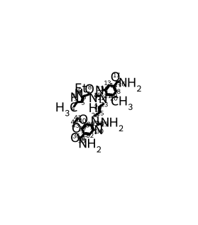 CCn1nc(C)cc1C(=O)Nc1nc2cc(C(N)=O)cc(C)c2n1C/C=C/Cn1c(N)nc2cc(C(N)=O)c3c(c21)OCCO3